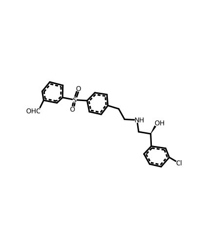 O=Cc1cccc(S(=O)(=O)c2ccc(CCNC[C@@H](O)c3cccc(Cl)c3)cc2)c1